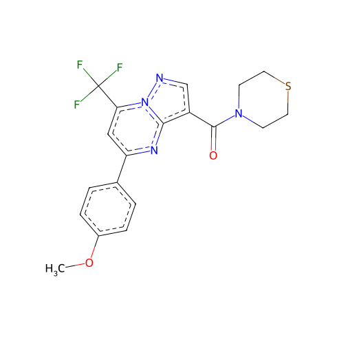 COc1ccc(-c2cc(C(F)(F)F)n3ncc(C(=O)N4CCSCC4)c3n2)cc1